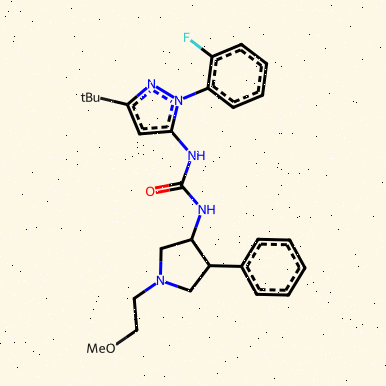 COCCN1CC(NC(=O)Nc2cc(C(C)(C)C)nn2-c2ccccc2F)C(c2ccccc2)C1